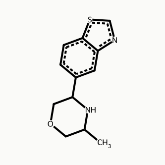 CC1COCC(c2ccc3scnc3c2)N1